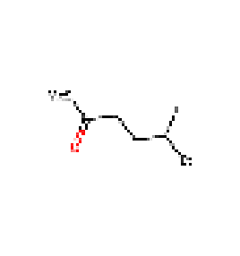 CCC(C)CCC(=O)SC